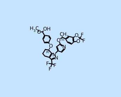 COC(O)c1ccc(O[C@@H]2CCCc3c(C(F)(F)F)nn(-c4ccnc(O[C@@H](C)c5ccc6c(c5)OC(F)(F)O6)c4)c32)cc1